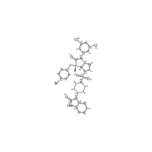 C[C@@]1(Cc2ccc(Br)cc2)C(=O)N(c2cc(Cl)cc(Cl)c2)c2ncc(S(=O)(=O)N3CCC(n4c(=O)[nH]c5ccccc54)CC3)n21